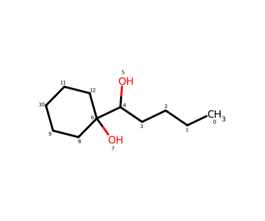 CCCCC(O)C1(O)CCCCC1